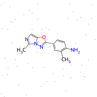 Cc1cc(-c2nn3c(C)ncc3o2)ccc1N